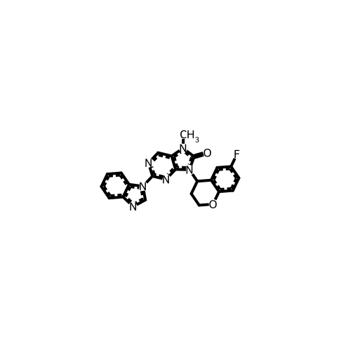 Cn1c(=O)n(C2CCOc3ccc(F)cc32)c2nc(-n3cnc4ccccc43)ncc21